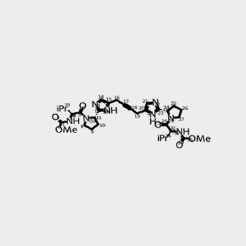 COC(=O)N[C@H](C(=O)N1CCC[C@H]1c1ncc(CC#CCc2cnc([C@@H]3CCCN3C(=O)[C@@H](NC(=O)OC)C(C)C)[nH]2)[nH]1)C(C)C